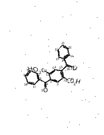 O=C(O)c1cc(C(=O)c2ccccc2)c(C(=O)O)cc1C(=O)c1ccccc1